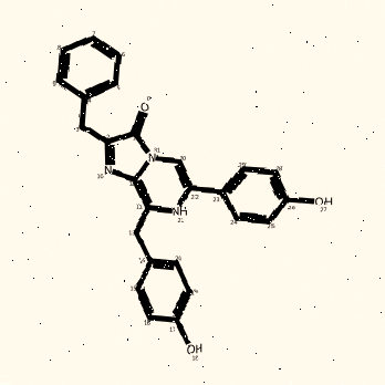 O=c1c(Cc2ccccc2)nc2c(Cc3ccc(O)cc3)[nH]c(-c3ccc(O)cc3)cn1-2